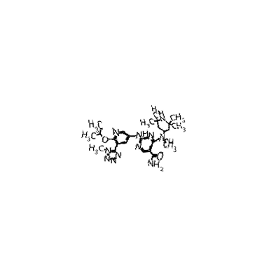 CC(C)Oc1ncc(Nc2ncc(C(N)=O)c(N(C)C3CC(C)(C)NC(C)(C)C3)n2)cc1-c1nnnn1C